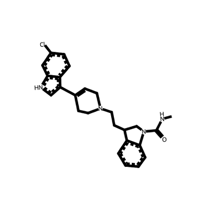 CNC(=O)N1CC(CCN2CC=C(c3c[nH]c4cc(Cl)ccc34)CC2)c2ccccc21